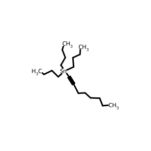 CCCCCCC#[C][Sn]([CH2]CCC)([CH2]CCC)[CH2]CCC